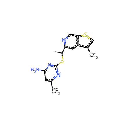 CC(Sc1nc(N)cc(C(F)(F)F)n1)c1cc2c(C(F)(F)F)csc2cn1